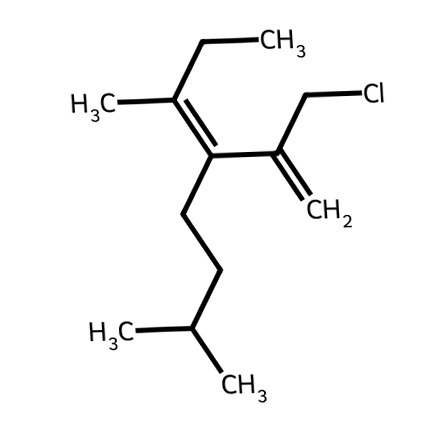 C=C(CCl)/C(CCC(C)C)=C(/C)CC